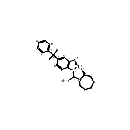 CCCCCCC(N1CCCCCC1=O)n1nnc2cc(C(C)(C)c3ccccc3)ccc21